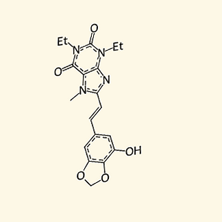 CCn1c(=O)c2c(nc(C=Cc3cc(O)c4c(c3)OCO4)n2C)n(CC)c1=O